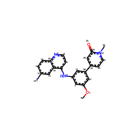 COc1cc(Nc2ccnc3ccc(I)cc23)cc(-c2ccn(C)c(=O)c2)c1